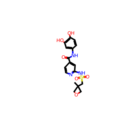 CC1(CS(=O)(=O)Nc2cc(C(=O)Nc3ccc(O)c(O)c3)ccn2)COC1